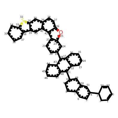 C1=CCC(c2ccc3ccc(-c4c5ccccc5c(-c5ccc6c(c5)oc5ccc7cc8sc9ccccc9c8cc7c56)c5ccccc45)cc3c2)C=C1